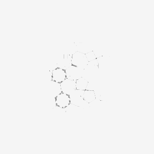 C[C@@H](NC(=O)c1cncc(-c2cc(F)cc(F)c2)c1N1CCC2(C[C@@H](F)CN2)C1)C1CC(F)(F)C1